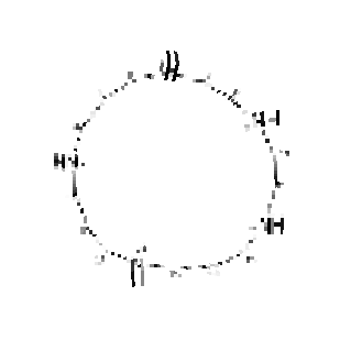 C1CNCCCNCCNCCNCCCNC1